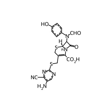 N#Cc1nc(SCC2=C(C(=O)O)N3C(=O)C(N(C=O)c4ccc(O)cc4)[C@H]3SC2)ncc1N